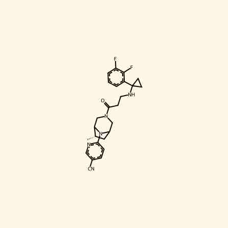 C[C@H]1CC2CN(C(=O)CCNC3(c4cccc(F)c4F)CC3)CC1N2c1ccc(C#N)cn1